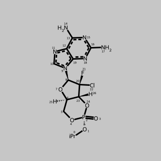 CC(C)O[P@]1(=O)OC[C@H]2O[C@@H](n3cnc4c(N)nc(N)nc43)[C@](F)(Cl)[C@@H]2O1